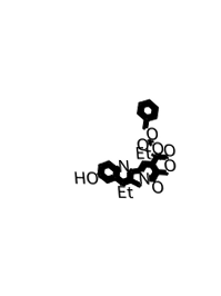 CCc1c2c(nc3ccc(O)cc13)-c1cc3c(c(=O)n1C2)COC(=O)[C@@]3(CC)OC(=O)OCc1ccccc1